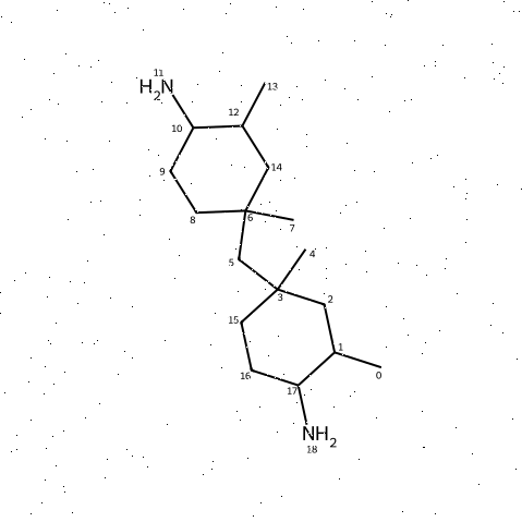 CC1CC(C)(CC2(C)CCC(N)C(C)C2)CCC1N